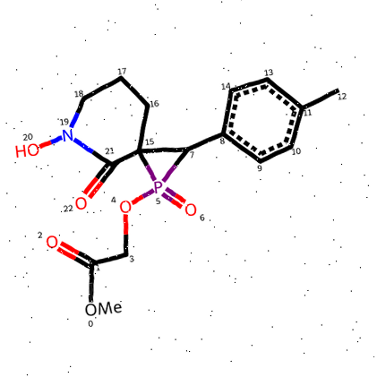 COC(=O)COP1(=O)C(c2ccc(C)cc2)C12CCCN(O)C2=O